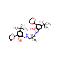 CC(C)(CNCc1cc(C(C)(C)C)cc(C2OCCCO2)c1O)CNCc1cc(C(C)(C)C)cc(C2OCCCO2)c1O